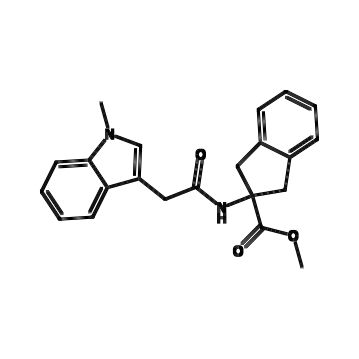 COC(=O)C1(NC(=O)Cc2cn(C)c3ccccc23)Cc2ccccc2C1